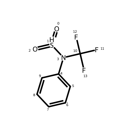 O=[SH](=O)N(c1c[c]ccc1)C(F)(F)F